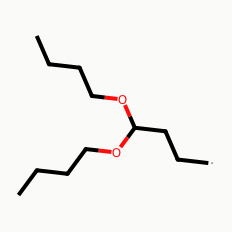 [CH2]CCC(OCCCC)OCCCC